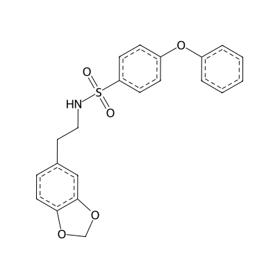 O=S(=O)(NCCc1ccc2c(c1)OCO2)c1ccc(Oc2ccccc2)cc1